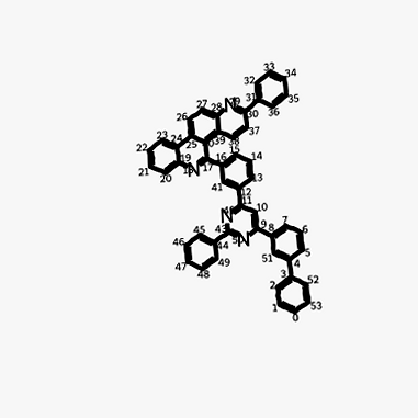 c1ccc(-c2cccc(-c3cc(-c4cccc(-c5nc6ccccc6c6ccc7nc(-c8ccccc8)ccc7c56)c4)nc(-c4ccccc4)n3)c2)cc1